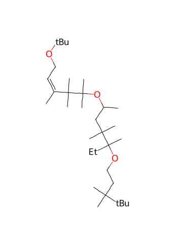 CCC(C)(OCCC(C)(C)C(C)(C)C)C(C)(C)CC(C)OC(C)(C)C(C)(C)/C(C)=C\COC(C)(C)C